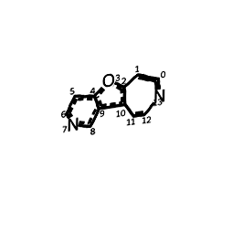 C1=Cc2oc3ccncc3c2C=CN=1